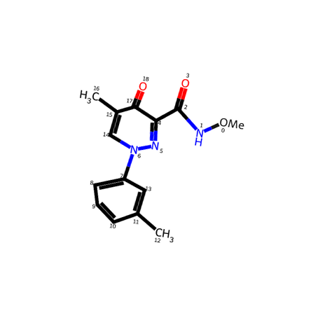 CONC(=O)c1nn(-c2cccc(C)c2)cc(C)c1=O